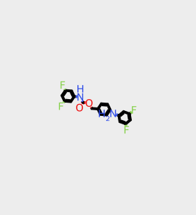 Nc1cc(F)cc(F)c1.O=C(Nc1cc(F)cc(F)c1)OCc1ccccc1